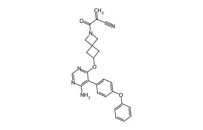 C=C(C#N)C(=O)N1CC2(CC(Oc3ncnc(N)c3-c3ccc(Oc4ccccc4)cc3)C2)C1